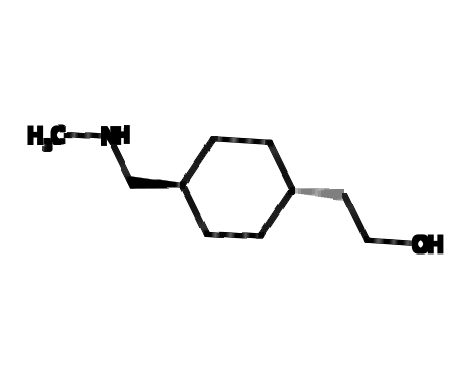 CNC[C@H]1CC[C@H](CCO)CC1